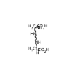 CC(CCNCCCCNCCC(C)NC(=O)O)NC(=O)O